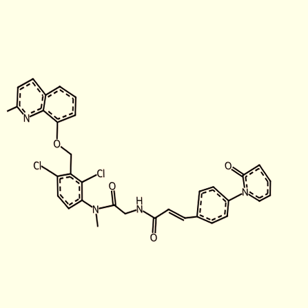 Cc1ccc2cccc(OCc3c(Cl)ccc(N(C)C(=O)CNC(=O)C=Cc4ccc(-n5ccccc5=O)cc4)c3Cl)c2n1